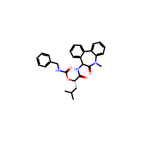 CC(C)C[C@H](OC(=O)NCc1ccccc1)C(=O)NC1C(=O)N(C)c2ccccc2-c2ccccc21